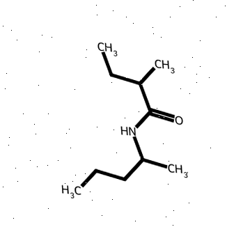 CCCC(C)NC(=O)C(C)CC